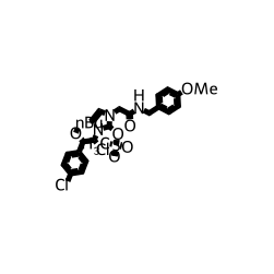 CCCCOC(c1ccc(Cl)cc1)C(Cl)N1C=CN(CC(=O)NCc2ccc(OC)cc2)C1OS(C)(=O)=O